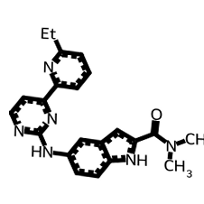 CCc1cccc(-c2ccnc(Nc3ccc4[nH]c(C(=O)N(C)C)cc4c3)n2)n1